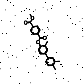 COC(=O)c1ccc(C(=O)Oc2ccc(-c3ccc(C)c(C)c3)cc2C)cc1